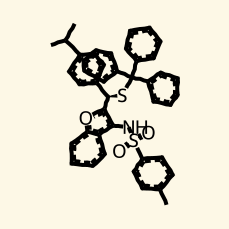 Cc1ccc(S(=O)(=O)Nc2c([C@H](SC(c3ccccc3)(c3ccccc3)c3ccccc3)c3ccc(C(C)C)cc3)oc3ccccc23)cc1